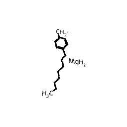 [CH2]c1ccc(CCCCCCCC)cc1.[MgH2]